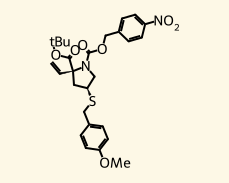 C=C[C@]1(C(=O)OC(C)(C)C)C[C@H](SCc2ccc(OC)cc2)CN1C(=O)OCc1ccc([N+](=O)[O-])cc1